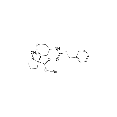 CC(C)CC(CC(=O)[C@@]1(C(=O)OC(C)(C)C)CCCN1C)NC(=O)OCc1ccccc1